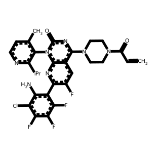 C=CC(=O)N1CCN(c2nc(=O)n(-c3c(C)ccnc3C(C)C)c3nc(-c4c(N)c(Cl)c(F)c(F)c4F)c(F)cc23)CC1